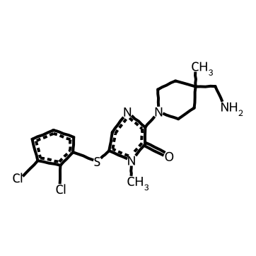 Cn1c(Sc2cccc(Cl)c2Cl)cnc(N2CCC(C)(CN)CC2)c1=O